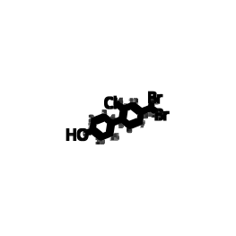 Oc1ccc(-c2ccc(C(Br)Br)cc2Cl)cc1